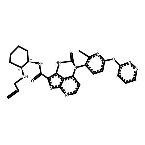 C=CCN[C@H]1CCCC[C@H]1NC(=O)c1sc2nccc3c2c1NC(=O)N3c1ccc(Oc2cccnn2)nc1C